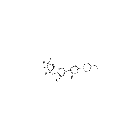 CCC1CCC(c2ccc(-c3ccc(OC(F)(F)C(F)C(F)(F)F)c(Cl)c3)c(F)c2)CC1